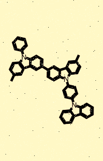 Cc1ccc2c(c1)c1cc(-c3ccc4c(c3)c3cc(C)ccc3n4-c3ccc(-n4c5ccccc5c5ccccc54)cc3)ccc1n2-c1ccccc1